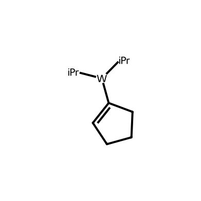 C[CH](C)[W]([C]1=CCCC1)[CH](C)C